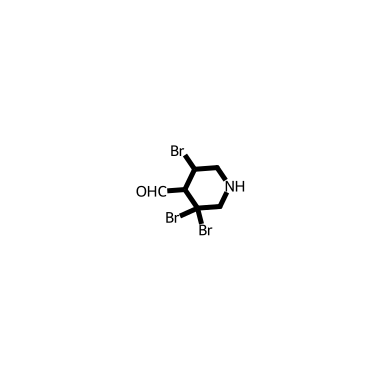 O=CC1C(Br)CNCC1(Br)Br